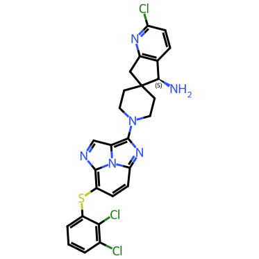 N[C@@H]1c2ccc(Cl)nc2CC12CCN(c1nc3ccc(Sc4cccc(Cl)c4Cl)c4ncc1n34)CC2